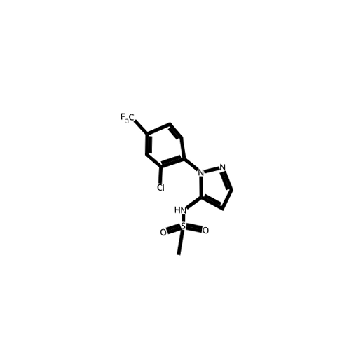 CS(=O)(=O)Nc1ccnn1-c1ccc(C(F)(F)F)cc1Cl